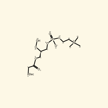 CCCCCCCCCCCC(=O)OC[C@H](COP(=O)([O-])OCC[N+](C)(C)C)OO